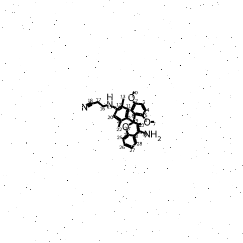 COc1ccc(OC)c(C2(c3cc(C)c(NCCC#N)cc3C)Oc3ccccc3C(N)=C2C)c1